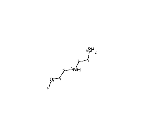 BCCNCCOC